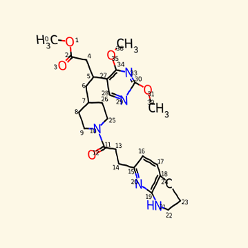 COC(=O)CC(CC1CCN(C(=O)CCc2ccc3c(n2)NCCC3)CC1)c1cnc(OC)nc1OC